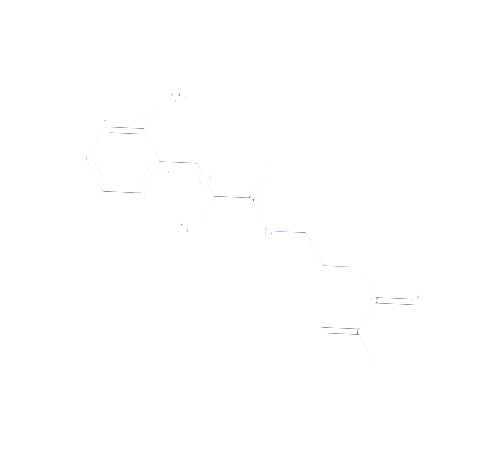 C=C(C)C(=C)OCCNC(=O)/C(C#N)=C/c1ccccc1OC